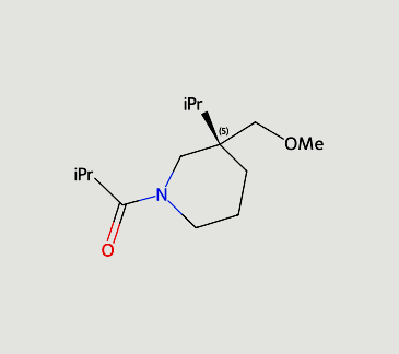 COC[C@]1(C(C)C)CCCN(C(=O)C(C)C)C1